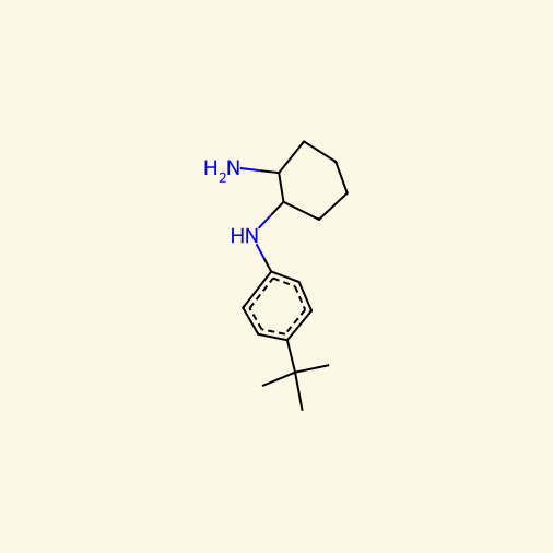 CC(C)(C)c1ccc(NC2CCCCC2N)cc1